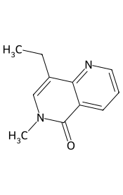 CCc1cn(C)c(=O)c2cccnc12